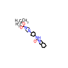 CC(C)(C)OC(=O)N1CCN(c2ccc(NC(=O)n3cc4ccccc4c3)cc2)CC1